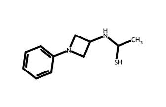 CC(S)NC1CN(c2ccccc2)C1